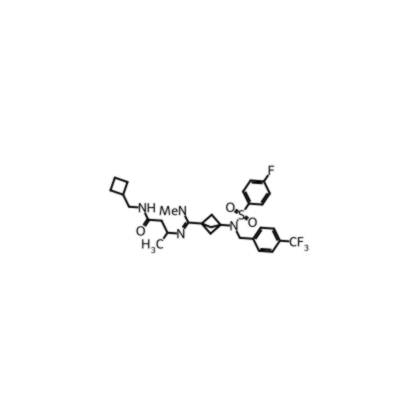 CN/C(=N\C(C)CC(=O)NCC1CCC1)C12CC(N(Cc3ccc(C(F)(F)F)cc3)S(=O)(=O)c3ccc(F)cc3)(C1)C2